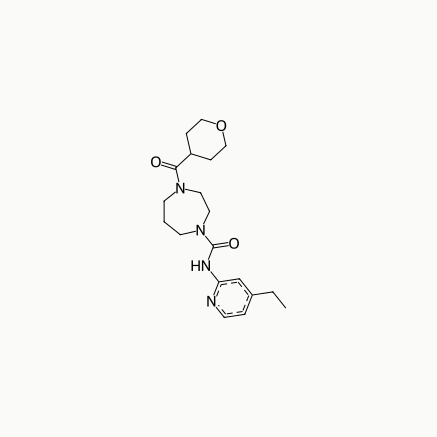 CCc1ccnc(NC(=O)N2CCCN(C(=O)C3CCOCC3)CC2)c1